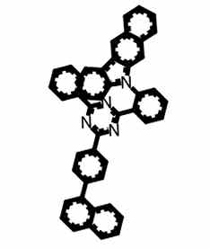 c1ccc(-c2nc(-c3ccc(-c4cccc5ccccc45)cc3)nc(-c3ccccc3-n3c4ccccc4c4cc5ccccc5cc43)n2)cc1